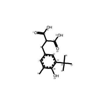 Cc1cc(CC(C(=O)O)C(=O)O)cc(C(C)(C)C)c1O